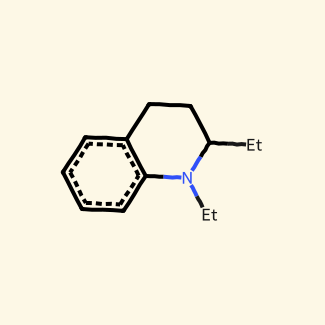 CCC1CCc2ccccc2N1CC